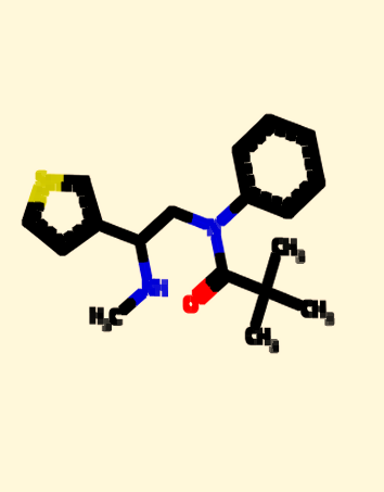 CNC(CN(C(=O)C(C)(C)C)c1ccccc1)c1ccsc1